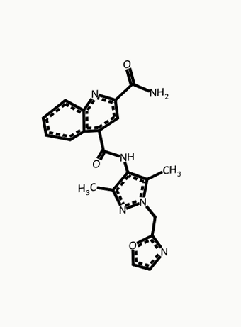 Cc1nn(Cc2ncco2)c(C)c1NC(=O)c1cc(C(N)=O)nc2ccccc12